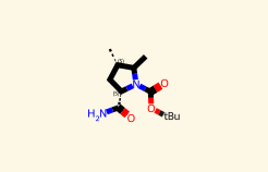 CC1[C@@H](C)C[C@@H](C(N)=O)N1C(=O)OC(C)(C)C